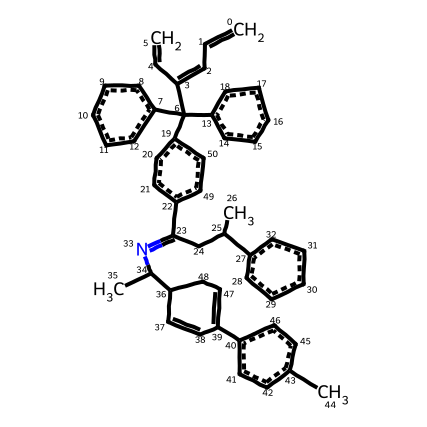 C=C/C=C(\C=C)C(c1ccccc1)(c1ccccc1)c1ccc(/C(CC(C)c2ccccc2)=N/C(C)C2C=CC(c3ccc(C)cc3)=CC2)cc1